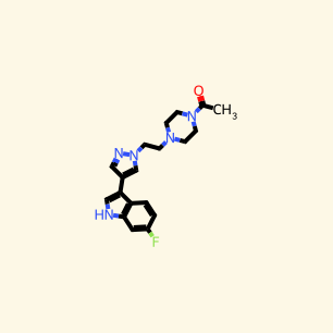 CC(=O)N1CCN(CCn2cc(-c3c[nH]c4cc(F)ccc34)cn2)CC1